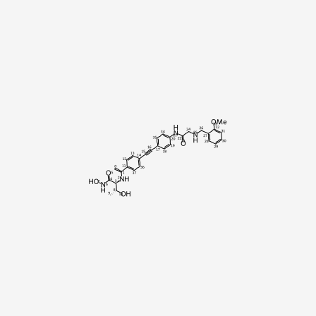 C=C(N[C@H](C(=O)NO)[C@@H](C)O)c1ccc(C#Cc2ccc(NC(=O)CNCc3ccccc3OC)cc2)cc1